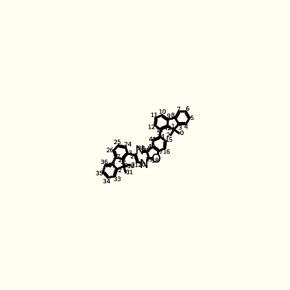 CC1(C)c2ccccc2-c2cccc(-c3ccc4oc5ncc(-c6cccc7c6C(C)(C)c6ccccc6-7)nc5c4c3)c21